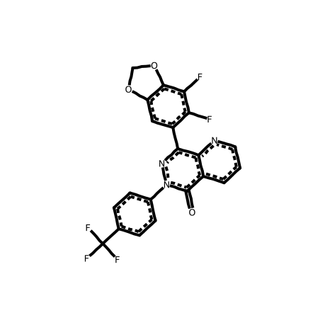 O=c1c2cccnc2c(-c2cc3c(c(F)c2F)OCO3)nn1-c1ccc(C(F)(F)F)cc1